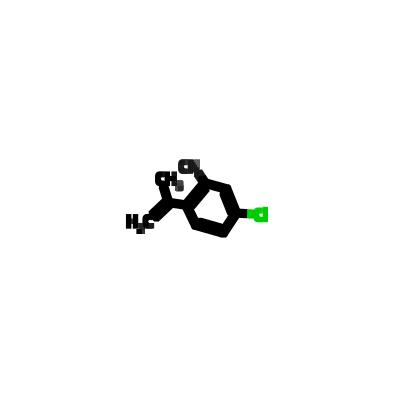 [C-]#[N+]c1cc(Cl)ccc1C(=C)C